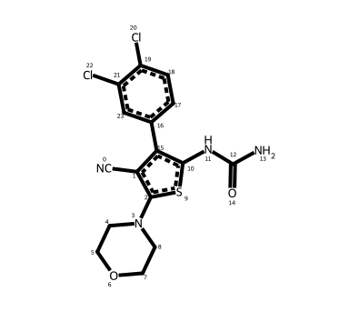 N#Cc1c(N2CCOCC2)sc(NC(N)=O)c1-c1ccc(Cl)c(Cl)c1